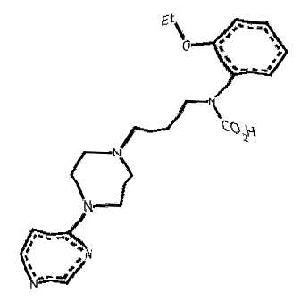 CCOc1ccccc1N(CCCN1CCN(c2ccncn2)CC1)C(=O)O